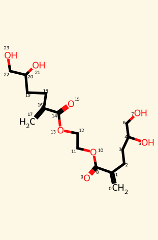 C=C(CCC(O)CO)C(=O)OCCOC(=O)C(=C)CCC(O)CO